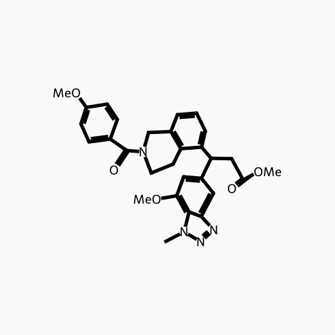 COC(=O)CC(c1cc(OC)c2c(c1)nnn2C)c1cccc2c1CCN(C(=O)c1ccc(OC)cc1)C2